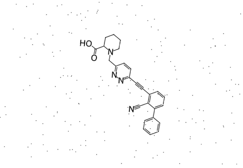 N#Cc1c(C#Cc2ccc(CN3CCCCC3C(=O)O)nn2)cccc1-c1ccccc1